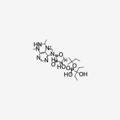 CCC(C)(C[C@H]1O[C@@H](n2c[n+]3c4c(ncnc42)N(C)NC3C)[C@H](O)[C@@H]1O)OP(=O)(O)C(O)(CC)CC